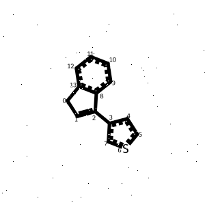 [CH]1C=C(c2ccsc2)c2ccccc21